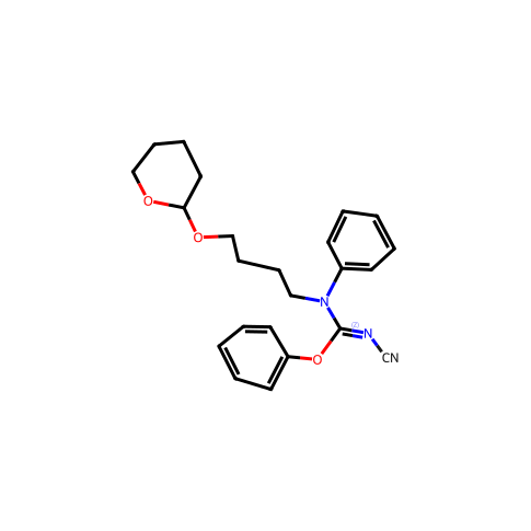 N#C/N=C(\Oc1ccccc1)N(CCCCOC1CCCCO1)c1ccccc1